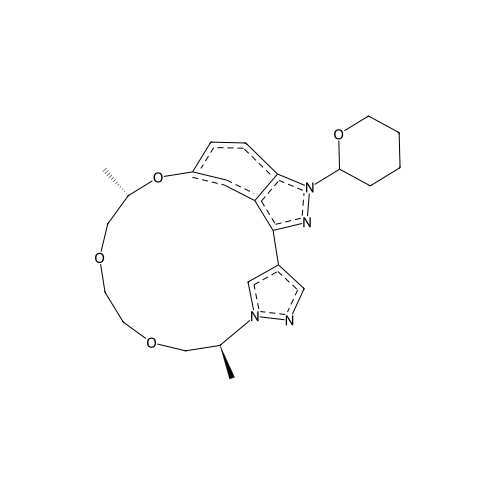 C[C@H]1COCCOC[C@H](C)n2cc(cn2)-c2nn(C3CCCCO3)c3ccc(cc23)O1